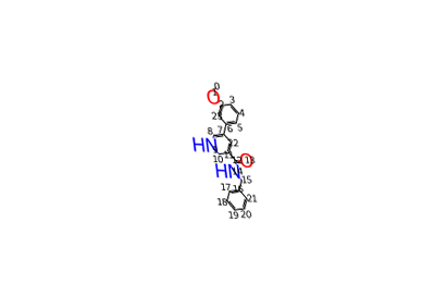 COc1cccc(C2=CNCC(C(=O)NCc3ccccc3)=C2)c1